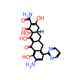 NC(=O)C1=C(O)C[C@@H]2CC3Cc4c(-c5ncccn5)cc(N)c(O)c4C(=O)C3=C(O)[C@]2(O)C1=O